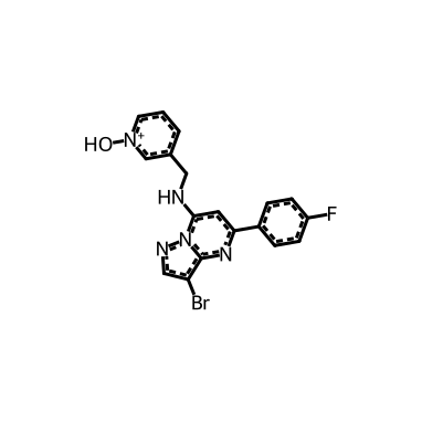 O[n+]1cccc(CNc2cc(-c3ccc(F)cc3)nc3c(Br)cnn23)c1